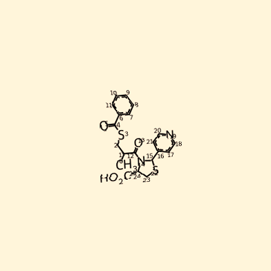 CC(CSC(=O)c1ccccc1)C(=O)N1C(c2ccncc2)SC[C@H]1C(=O)O